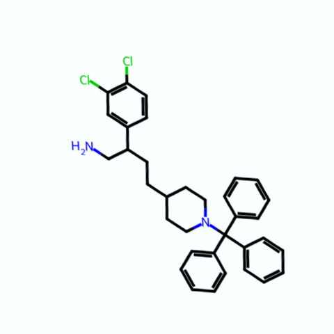 NCC(CCC1CCN(C(c2ccccc2)(c2ccccc2)c2ccccc2)CC1)c1ccc(Cl)c(Cl)c1